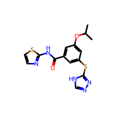 CC(C)Oc1cc(Sc2nnc[nH]2)cc(C(=O)Nc2nccs2)c1